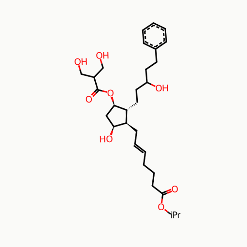 CC(C)OC(=O)CCCC=CC[C@@H]1[C@@H](CCC(O)CCc2ccccc2)[C@H](OC(=O)C(CO)CO)C[C@@H]1O